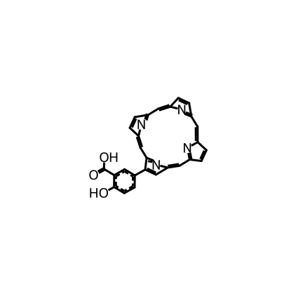 O=C(O)c1cc(C2=CC3=CC4=NC(=CC5=NC(=CC6=NC(=CC2=N3)C=C6)C=C5)C=C4)ccc1O